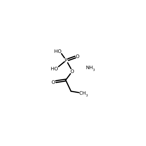 CCC(=O)OP(=O)(O)O.N